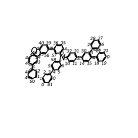 c1ccc(-c2ccc(N(c3ccc(-c4ccc(-c5ccccc5)c(-c5ccccc5)c4)cc3)c3cccc(-c4ccc5oc6ccc(-c7ccccc7)cc6c5c4)c3)cc2)cc1